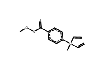 [CH2]OOC(=O)c1ccc([Si](C)(C=C)C=C)cc1